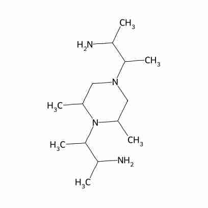 CC(N)C(C)N1CC(C)N(C(C)C(C)N)C(C)C1